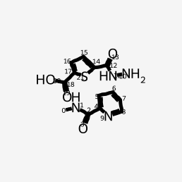 CNC(=O)c1ccccn1.NNC(=O)c1ccc(C(=O)O)s1